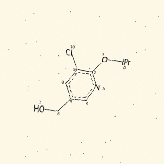 CC(C)Oc1ncc(CO)cc1Cl